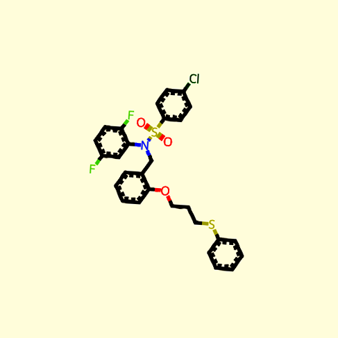 O=S(=O)(c1ccc(Cl)cc1)N(Cc1ccccc1OCCCSc1ccccc1)c1cc(F)ccc1F